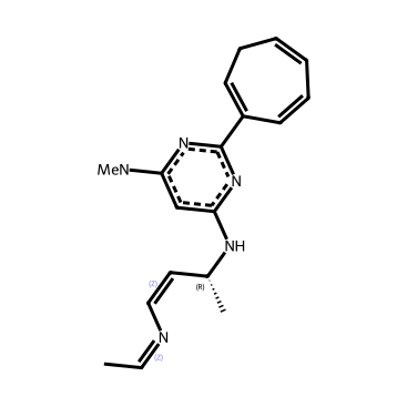 C/C=N\C=C/[C@@H](C)Nc1cc(NC)nc(C2=CCC=CC=C2)n1